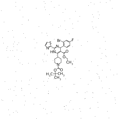 CCOC(=O)C1=C(C2CCN(C(=O)OC(C)(C)C)CC2)NC(c2nccs2)=NC1c1ccc(F)cc1Br